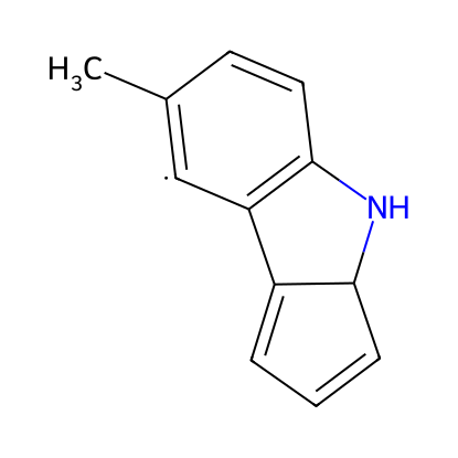 Cc1[c]c2c(cc1)NC1C=CC=C21